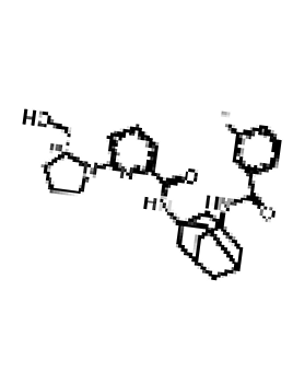 O=C(NC12CC3CC(C1)CC(NC(=O)c1cccc(N4CCC[C@@H]4CO)n1)(C3)C2)c1cccc(F)c1